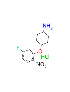 Cl.NC1CCC(Oc2cc(F)ccc2[N+](=O)[O-])CC1